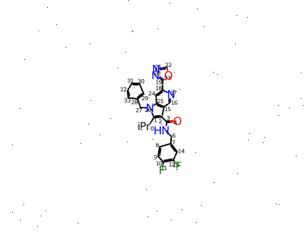 CC(C)c1c(C(=O)NCc2ccc(F)c(F)c2)c2cnc(-c3nnco3)cc2n1Cc1ccccc1